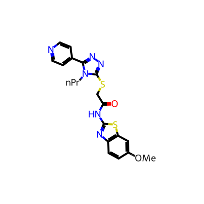 CCCn1c(SCC(=O)Nc2nc3ccc(OC)cc3s2)nnc1-c1ccncc1